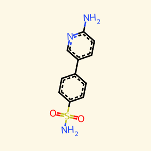 Nc1ccc(-c2ccc(S(N)(=O)=O)cc2)cn1